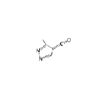 CC1=NN=CC1=C=O